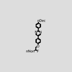 CCCCCCCCCCc1ccc(-c2ncc(-c3ccc(OCC(F)CCCCCCCCC)cc3)cn2)cc1